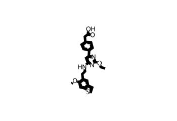 CCOc1nc(NCCc2cc3ccsc3cc2OC)cc(-c2ccc(CC(=O)O)cc2)n1